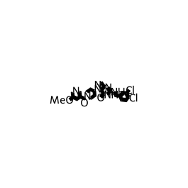 COc1cncc(C(=O)N2CCC(n3ncc4nc(NCc5ccc(Cl)c(Cl)c5)[nH]c(=O)c43)CC2)c1